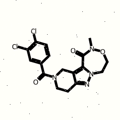 CN1OCCn2nc3c(c2C1=O)CN(C(=O)c1ccc(Cl)c(Cl)c1)CC3